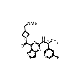 CNCC1CN(C(=O)c2nc(N[C@@H](C)c3cncc(F)c3)nc3ccsc23)C1